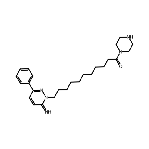 N=c1ccc(-c2ccccc2)nn1CCCCCCCCCCC(=O)N1CCNCC1